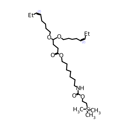 CC/C=C\CCCCOC(CCC(=O)OCCCCCCCNC(=O)OCC[Si](C)(C)C)OCCCC/C=C\CC